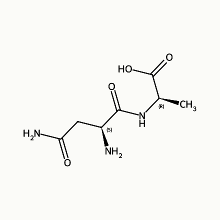 C[C@@H](NC(=O)[C@@H](N)CC(N)=O)C(=O)O